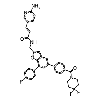 Nc1ccc(C=CC(=O)NCc2cc3cc(-c4ccc(C(=O)N5CCC(F)(F)CC5)cc4)cc(-c4ccc(F)cc4)c3o2)cn1